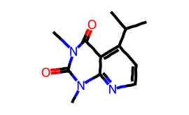 CC(C)c1ccnc2c1c(=O)n(C)c(=O)n2C